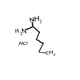 CCCCCC(N)N.Cl